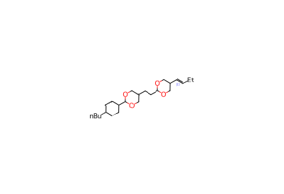 CC/C=C/C1COC(CCC2COC(C3CCC(CCCC)CC3)OC2)OC1